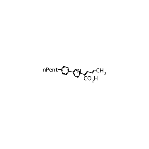 CC=CC=C(C(=O)O)c1ccc(-c2ccc(CCCCC)cc2)cn1